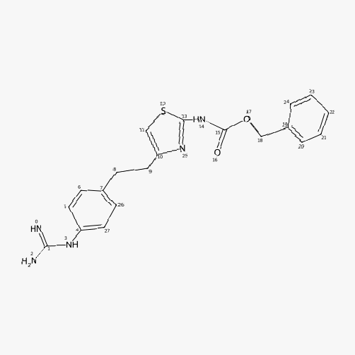 N=C(N)Nc1ccc(CCc2csc(NC(=O)OCc3ccccc3)n2)cc1